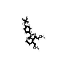 C=Cc1ccnc2c1c(CC)nn2-c1ccc(OC(F)(F)F)cc1